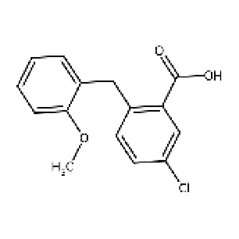 COc1ccccc1Cc1ccc(Cl)cc1C(=O)O